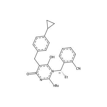 CCCCc1nc(=O)c(Cc2ccc(C3CC3)cc2)c(O)n1[C@@H](CC)c1ccccc1C#N